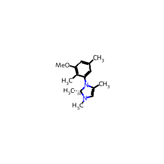 COc1cc(C)cc(N2C(C)=CN(C)[C@@H]2C)c1C